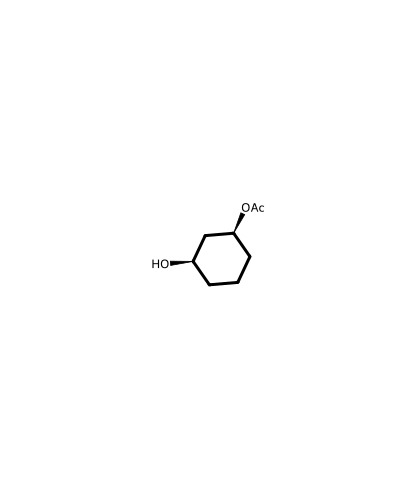 CC(=O)O[C@H]1CCC[C@@H](O)C1